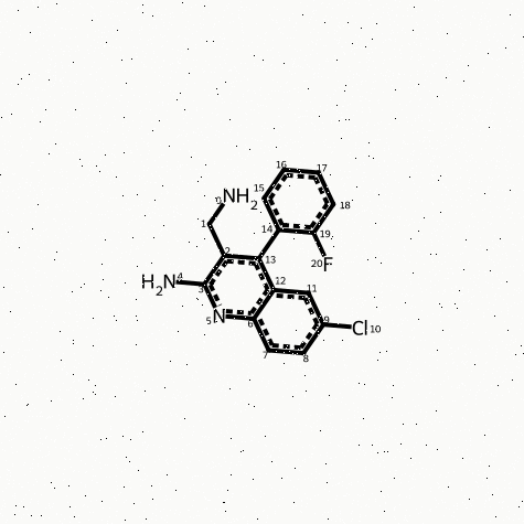 NCc1c(N)nc2ccc(Cl)cc2c1-c1ccccc1F